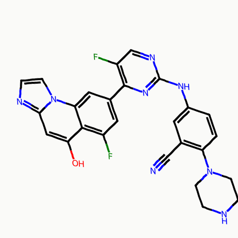 N#Cc1cc(Nc2ncc(F)c(-c3cc(F)c4c(O)cc5nccn5c4c3)n2)ccc1N1CCNCC1